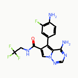 Nc1ccc(-c2c(C(=O)NCC(F)(F)F)cn3ncnc(N)c23)cc1F